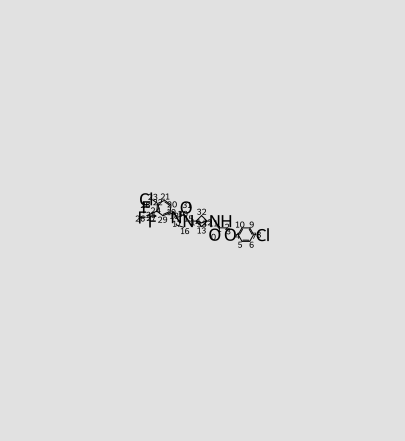 O=C(COc1ccc(Cl)cc1)NC12CC(N3CCN(c4ccc(Cl)c(C(F)(F)F)c4)C3=O)(C1)C2